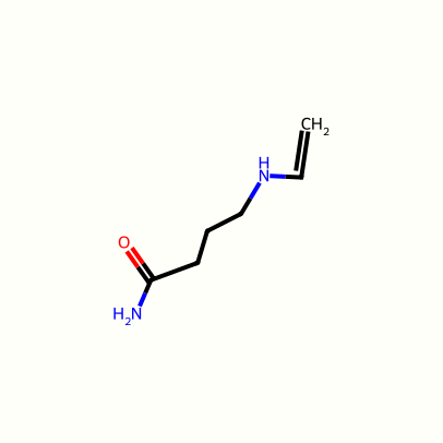 C=CNCCCC(N)=O